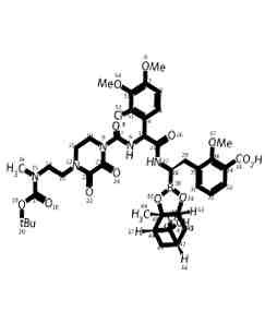 COc1ccc(C(NC(=O)N2CCN(CCN(C)C(=O)OC(C)(C)C)C(=O)C2=O)C(=O)N[C@@H](Cc2cccc(C(=O)O)c2OC)B2O[C@@H]3C[C@@H]4C[C@@H](C4(C)C)[C@]3(C)O2)c(Cl)c1OC